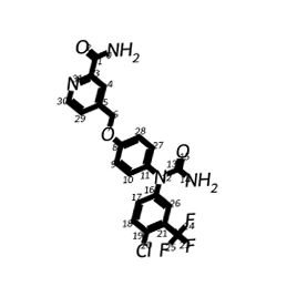 NC(=O)c1cc(COc2ccc(N(C(N)=O)c3ccc(Cl)c(C(F)(F)F)c3)cc2)ccn1